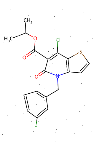 CC(C)OC(=O)c1c(Cl)c2sccc2n(Cc2cccc(F)c2)c1=O